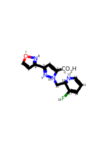 O=C(O)c1cc(-c2ccon2)nn1Cc1ncccc1F